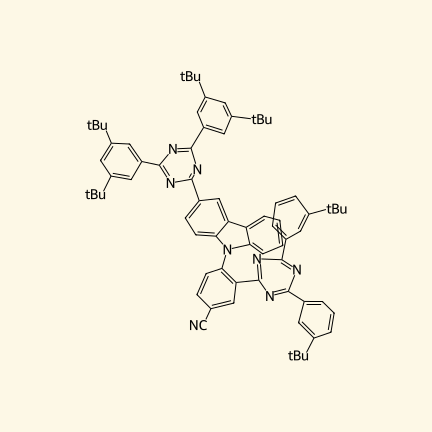 CC(C)(C)c1cccc(-c2nc(-c3cccc(C(C)(C)C)c3)nc(-c3cc(C#N)ccc3-n3c4ccccc4c4cc(-c5nc(-c6cc(C(C)(C)C)cc(C(C)(C)C)c6)nc(-c6cc(C(C)(C)C)cc(C(C)(C)C)c6)n5)ccc43)n2)c1